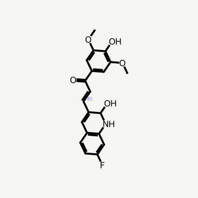 COc1cc(C(=O)/C=C/C2=Cc3ccc(F)cc3NC2O)cc(OC)c1O